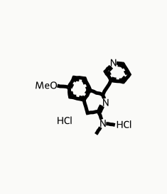 COc1ccc2c(c1)CC(N(C)C)=NC2c1cccnc1.Cl.Cl